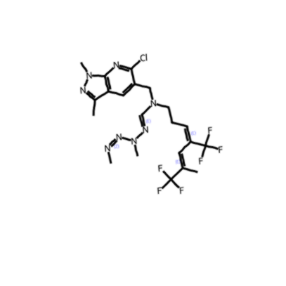 C/N=N\N(C)/N=C/N(CC/C=C(\C=C(/C)C(F)(F)F)C(F)(F)F)Cc1cc2c(C)nn(C)c2nc1Cl